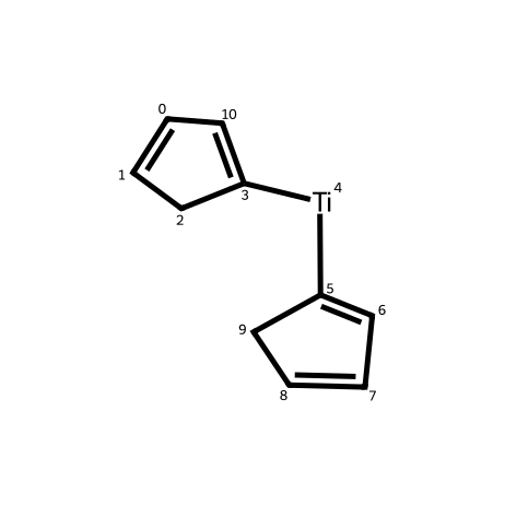 C1=CC[C]([Ti][C]2=CC=CC2)=C1